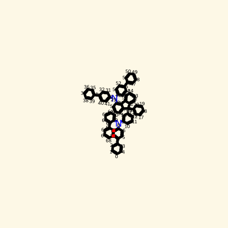 c1ccc(-c2ccc(N(c3cccc([C@]4(c5ccccc5)c5ccccc5-c5c(N(c6ccc(-c7ccccc7)cc6)c6ccc(-c7ccccc7)cc6)cccc54)c3)c3ccccc3-c3ccccc3)cc2)cc1